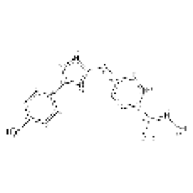 Cc1ccc(-c2cnc(Nc3ccc(/C(N)=N/O)nc3)o2)cc1